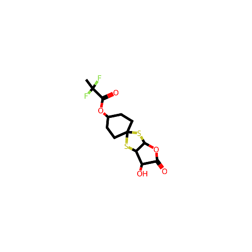 CC(F)(F)C(=O)OC1CCC2(CC1)SC1OC(=O)C(O)C1S2